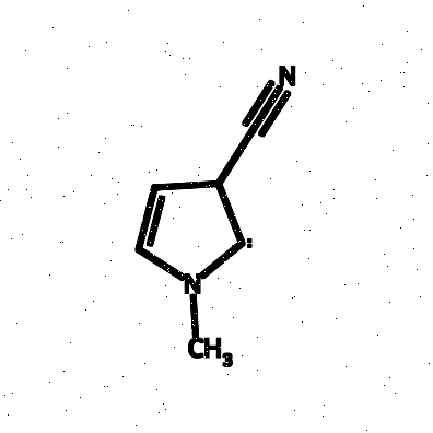 CN1[C]C(C#N)C=C1